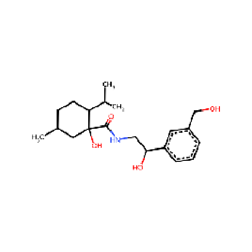 CC1CCC(C(C)C)C(O)(C(=O)NCC(O)c2cccc(CO)c2)C1